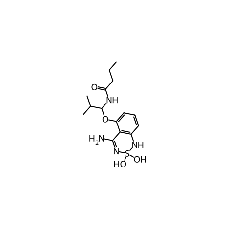 CCCC(=O)NC(Oc1cccc2c1C(N)=NS(O)(O)N2)C(C)C